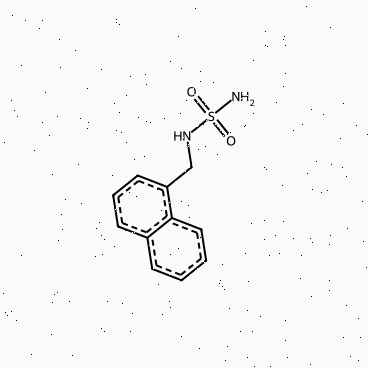 NS(=O)(=O)NCc1cccc2ccccc12